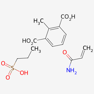 C=CC(N)=O.CCCS(=O)(=O)O.Cc1c(C(=O)O)cccc1C(=O)O